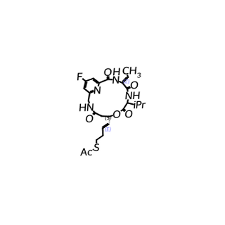 C/C=C1\NC(=O)c2cc(F)cc(n2)CNC(=O)C[C@@H](/C=C/CCSC(C)=O)OC(=O)C(C(C)C)NC1=O